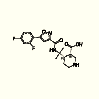 CC(C)(NC(=O)c1cc(-c2ccc(F)cc2F)on1)[C@H]1CCNC[C@H]1C(=O)O